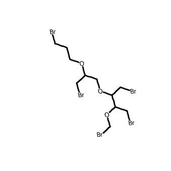 BrCCCOC(CBr)COC(CBr)C(CBr)OCBr